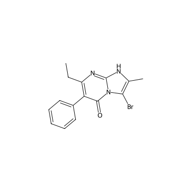 CCc1nc2[nH]c(C)c(Br)n2c(=O)c1-c1ccccc1